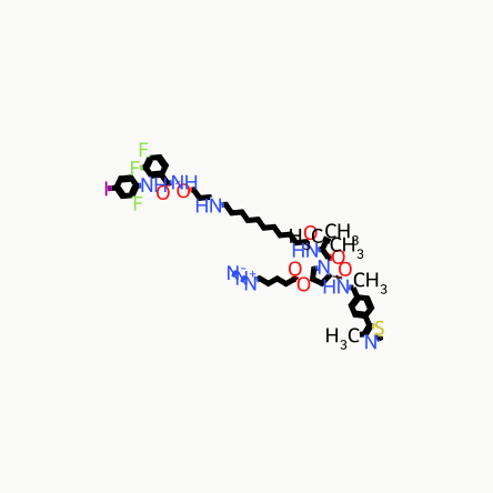 Cc1ncsc1-c1ccc(C(C)NC(=O)[C@@H]2C[C@@H](OC(=O)CCCCN=[N+]=[N-])CN2C(=O)C(NC(=O)CCCCCCCCCCNCCCONC(=O)c2ccc(F)c(F)c2Nc2ccc(I)cc2F)C(C)(C)C)cc1